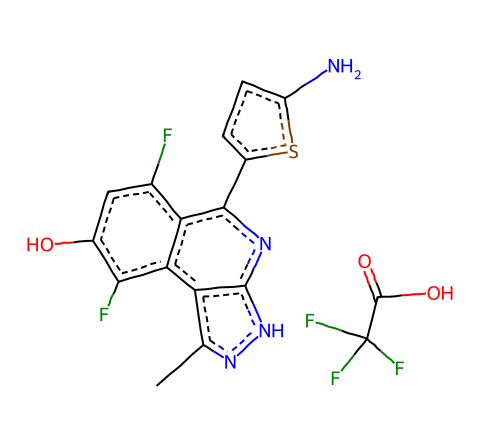 Cc1n[nH]c2nc(-c3ccc(N)s3)c3c(F)cc(O)c(F)c3c12.O=C(O)C(F)(F)F